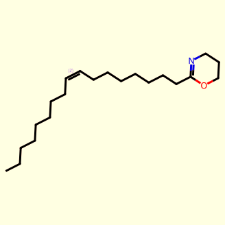 CCCCCCCC/C=C\CCCCCCCC1=NCCCO1